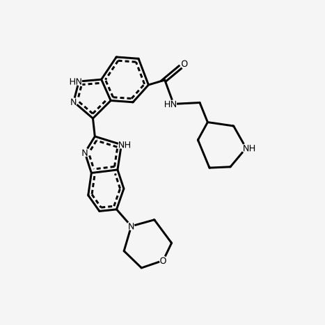 O=C(NCC1CCCNC1)c1ccc2[nH]nc(-c3nc4ccc(N5CCOCC5)cc4[nH]3)c2c1